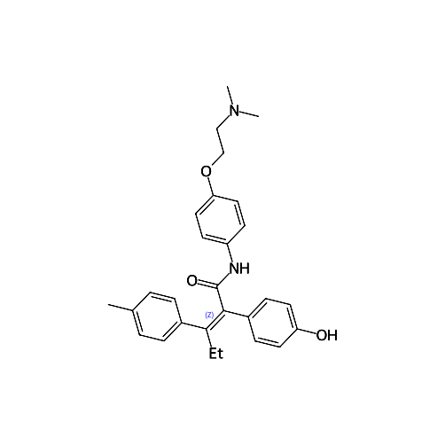 CC/C(=C(/C(=O)Nc1ccc(OCCN(C)C)cc1)c1ccc(O)cc1)c1ccc(C)cc1